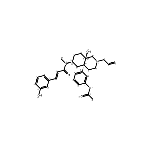 C=CCN1CC[C@@]2(c3cccc(OC(C)=O)c3)C[C@@H](N(C)C(=O)C=Cc3cccc(O)c3)CC[C@]2(O)C1